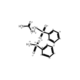 NC(N)=O.NS(=O)(=O)c1ccccc1.NS(=O)(=O)c1ccccc1